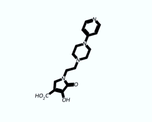 O=C(O)C1=C(O)C(=O)N(CCN2CCN(c3ccncc3)CC2)C1